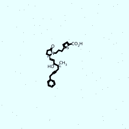 C[C@H](CC#CCc1ccccc1)[C@@H](O)C=C[C@H]1CCC(=O)N1CCCc1ccc(C(=O)O)s1